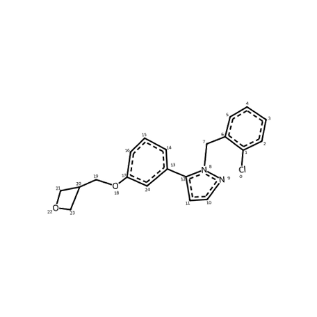 Clc1ccccc1Cn1nccc1-c1cccc(OCC2COC2)c1